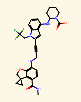 CNC(=O)c1ccc(NCC#Cc2cc3c(NC4CCCCN4C(=O)O)cccc3n2CC(F)(F)F)c2c1C1(CC1)CO2